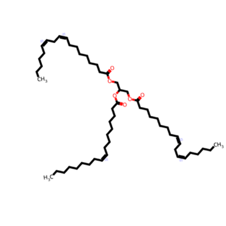 CCCCC/C=C\C/C=C\CCCCCCCC(=O)OCC(COC(=O)CCCCCCC/C=C\C/C=C\CCCCC)OC(=O)CCCCCCC/C=C\CCCCCCCC